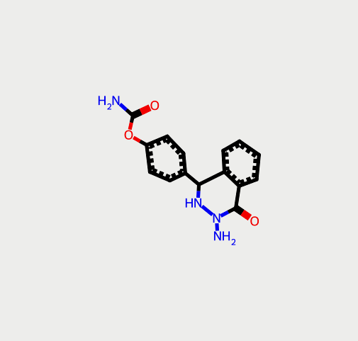 NC(=O)Oc1ccc(C2NN(N)C(=O)c3ccccc32)cc1